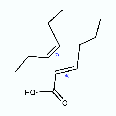 CC/C=C\CC.CCC/C=C/C(=O)O